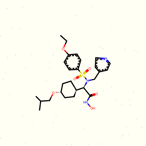 CCOc1ccc(S(=O)(=O)N(Cc2ccncc2)[C@@H](C(=O)NO)[C@H]2CC[C@H](OCC(C)C)CC2)cc1